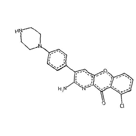 Nc1nc2c(=O)c3c(Cl)cccc3oc2cc1-c1ccc(N2CCNCC2)cc1